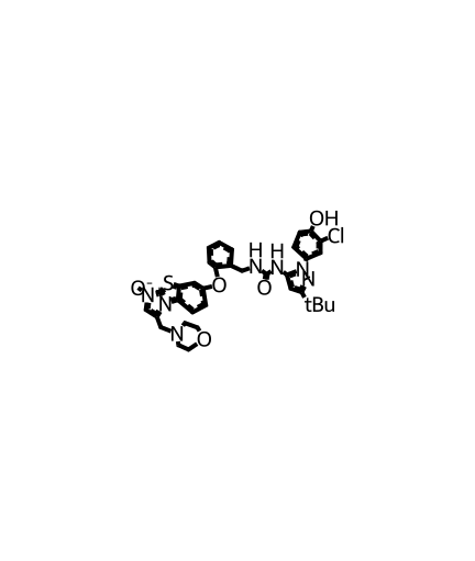 CC(C)(C)c1cc(NC(=O)NCc2ccccc2Oc2ccc3c(c2)sc2n3c(CN3CCOCC3)c[n+]2[O-])n(-c2ccc(O)c(Cl)c2)n1